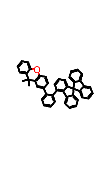 CC1(C)c2ccccc2Oc2ccc(-c3ccccc3-c3cccc4c3-c3ccccc3C43c4ccccc4-c4ccccc43)cc21